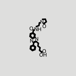 O=C(O)CCCCc1nc2cc(C(=O)NCCCN3CCCC3=O)ccc2nc1-c1ccccc1